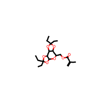 C=C(C)C(=O)OCC1OC2OC(CC)(CC)OC2C2OC(CC)(CC)OC12